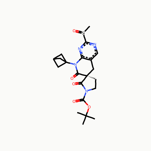 C[Si](=O)c1ncc2c(n1)N(C13CC(C1)C3)C(=O)[C@@]1(CCN(C(=O)OC(C)(C)C)C1=O)C2